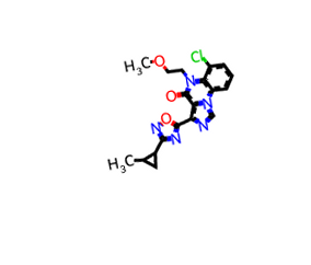 COCCn1c(=O)c2c(-c3nc(C4CC4C)no3)ncn2c2cccc(Cl)c21